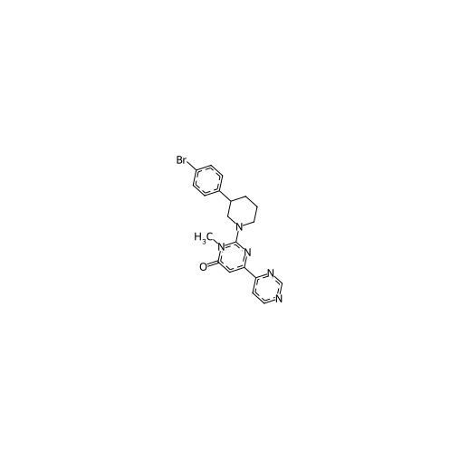 Cn1c(N2CCCC(c3ccc(Br)cc3)C2)nc(-c2ccncn2)cc1=O